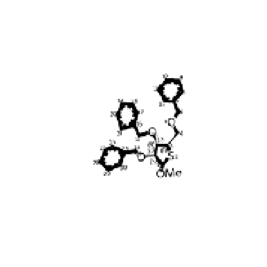 COC1S[C@H](COCc2ccccc2)[C@H](OCc2ccccc2)[C@@H]1OCc1ccccc1